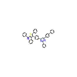 c1ccc(-c2ccc(-c3cc(-c4ccc(-c5c(-c6ccccc6)sc6c(-c7ccccc7)nc7ccccc7c56)cc4)nc(-c4ccccc4)n3)cc2)cc1